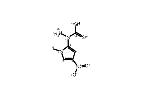 Cn1cc([N+](=O)[O-])cc1N(N)C(=S)S